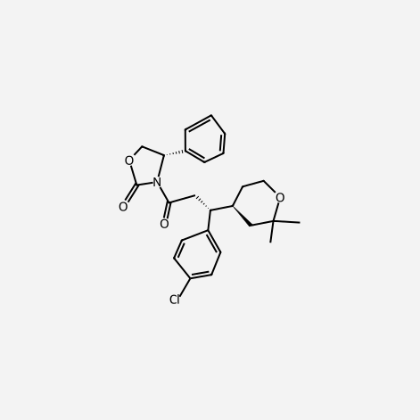 CC1(C)C[C@@H]([C@@H](CC(=O)N2C(=O)OC[C@@H]2c2ccccc2)c2ccc(Cl)cc2)CCO1